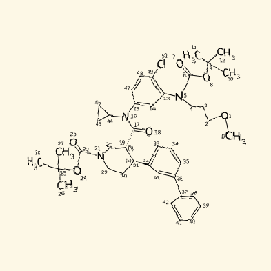 COCCCN(C(=O)OC(C)(C)C)c1cc(N(C(=O)[C@H]2CN(C(=O)OC(C)(C)C)CC[C@@H]2c2cccc(-c3ccccc3)c2)C2CC2)ccc1Cl